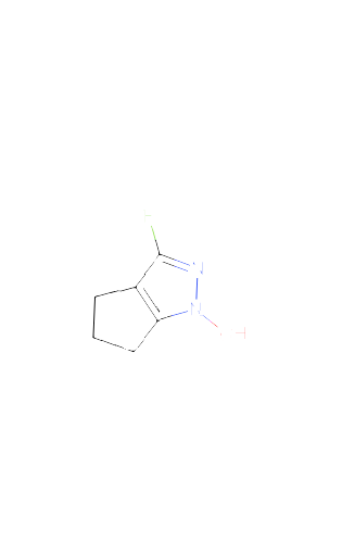 On1nc(F)c2c1CCC2